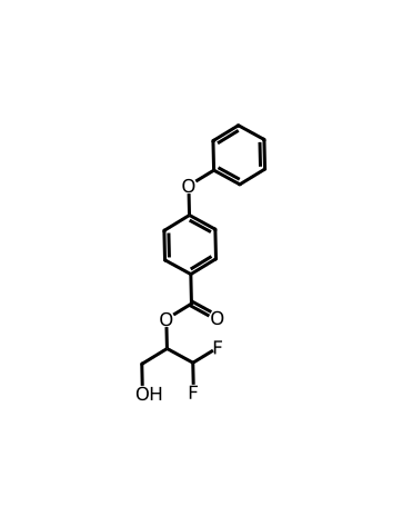 O=C(OC(CO)C(F)F)c1ccc(Oc2ccccc2)cc1